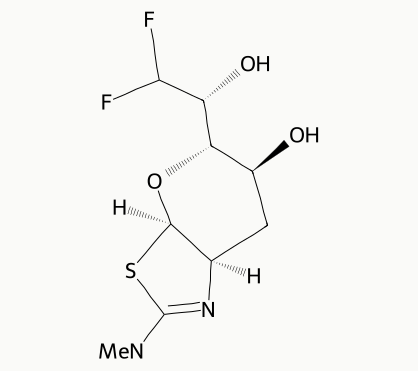 CNC1=N[C@@H]2C[C@H](O)[C@@H]([C@@H](O)C(F)F)O[C@@H]2S1